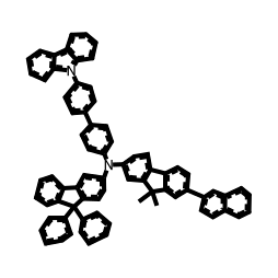 CC1(C)c2cc(-c3ccc4ccccc4c3)ccc2-c2ccc(N(c3ccc(-c4ccc(-n5c6ccccc6c6ccccc65)cc4)cc3)c3ccc4c(c3)-c3ccccc3C4(c3ccccc3)c3ccccc3)cc21